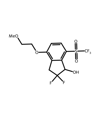 COCCOc1ccc(S(=O)(=O)C(F)(F)F)c2c1CC(F)(F)C2O